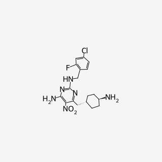 Nc1nc(NCc2ccc(Cl)cc2F)nc(C[C@H]2CC[C@H](N)CC2)c1[N+](=O)[O-]